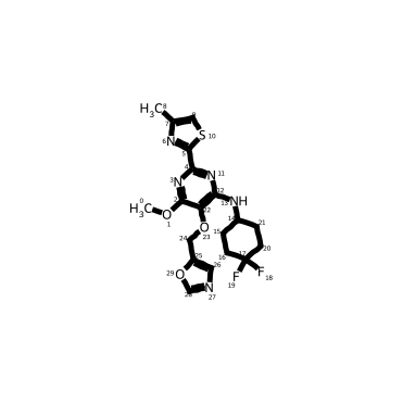 COc1nc(-c2nc(C)cs2)nc(NC2CCC(F)(F)CC2)c1OCc1cnco1